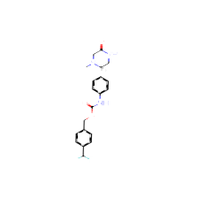 CN1CC(=O)NC[C@@H]1c1ccc(NC(=O)OCc2ccc(C(F)F)cc2)cc1